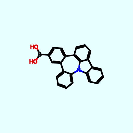 OB(O)c1ccc2c(c1)-c1ccccc1-n1c3ccccc3c3cccc-2c31